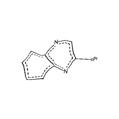 [CH2]CCc1cnc2ccccc2n1